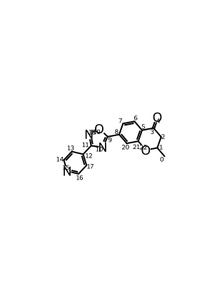 CC1CC(=O)c2ccc(-c3nc(-c4ccncc4)no3)cc2O1